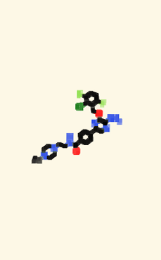 CC(=O)N1CCN(CCNC(=O)c2ccc(-c3cnc(N)c(OCc4c(F)ccc(F)c4Cl)n3)cc2)CC1